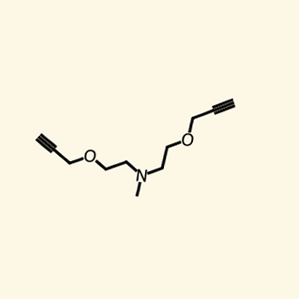 C#CCOCCN(C)CCOCC#C